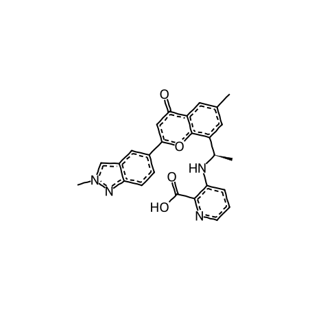 Cc1cc([C@@H](C)Nc2cccnc2C(=O)O)c2oc(-c3ccc4nn(C)cc4c3)cc(=O)c2c1